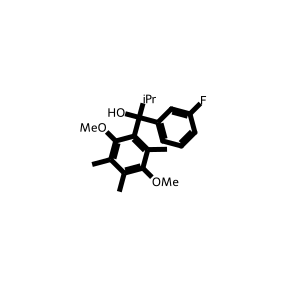 COc1c(C)c(C)c(OC)c(C(O)(c2cccc(F)c2)C(C)C)c1C